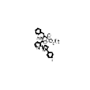 CCOC(=O)C(=O)C(Cc1ccccc1)NC(=O)c1cccnc1-n1ccc(-c2ccc(F)cc2)n1